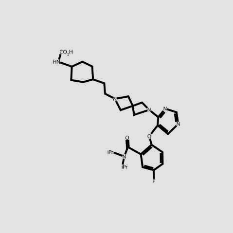 CC(C)N(C(=O)c1cc(F)ccc1Oc1cncnc1N1CC2(CN(CCC3CCC(NC(=O)O)CC3)C2)C1)C(C)C